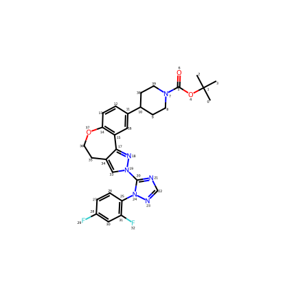 CC(C)(C)OC(=O)N1CCC(c2ccc3c(c2)-c2nn(-c4ncnn4-c4ccc(F)cc4F)cc2CCO3)CC1